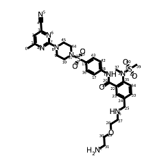 Cc1cc(C#N)nc(N2CCN(S(=O)(=O)c3ccc(NC(=O)c4cc(CNCCOCCN)ccc4N(C)S(C)(=O)=O)cc3)CC2)n1